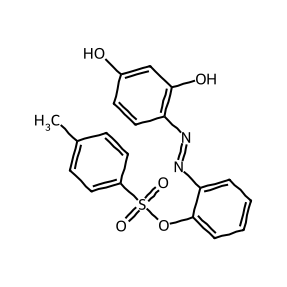 Cc1ccc(S(=O)(=O)Oc2ccccc2/N=N/c2ccc(O)cc2O)cc1